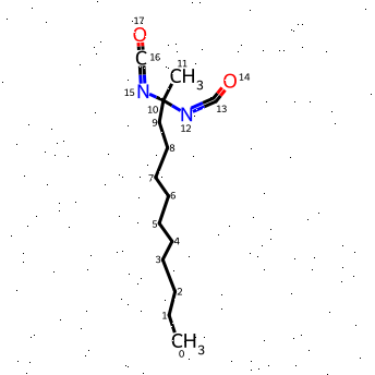 CCCCCCCCCCC(C)(N=C=O)N=C=O